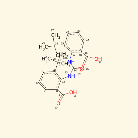 CC(C)(C)c1cccc(C(=O)O)c1NC(=O)Nc1c(C(=O)O)cccc1C(C)(C)C